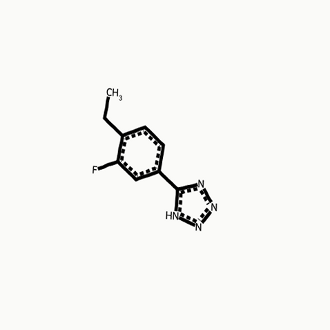 CCc1ccc(-c2nnn[nH]2)cc1F